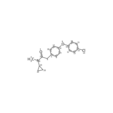 CN(C(=O)Cc1ccc(Oc2ccc(Cl)cc2)cc1)C1CC1